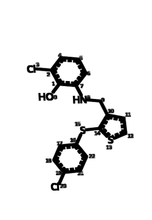 Oc1c(Cl)cccc1NCc1ccsc1Sc1ccc(Cl)cc1